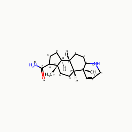 C[C@]12C=CCNC1CC[C@@H]1[C@H]2CC[C@]2(C)C(C(N)=O)CC[C@@H]12